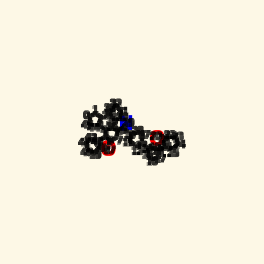 c1ccc(-c2c3c(cc4c(-c5ccc(-c6cccc7c6oc6ccccc67)cc5)nc5ccccc5c24)oc2ccccc23)cc1